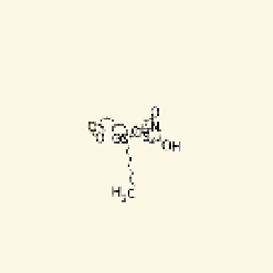 CCCCCCCC[S+]([O-])C(C)Cc1ccc2c(c1)OCO2.O=C1C[C@H]2SCC(O)CN12